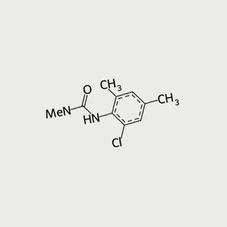 CNC(=O)Nc1c(C)cc(C)cc1Cl